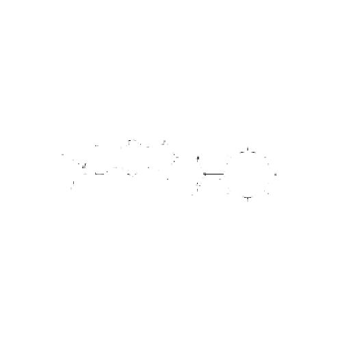 O=C(Nc1nc2ccc(OC(F)(F)F)cc2s1)C1CCCCCCC1